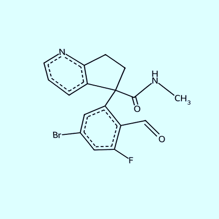 CNC(=O)C1(c2cc(Br)cc(F)c2C=O)CCc2ncccc21